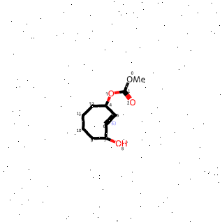 COC(=O)OC1/C=C/C(O)CCCC1